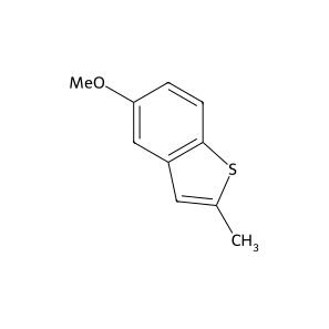 COc1ccc2sc(C)cc2c1